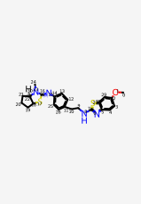 COc1ccc2nc(NCCc3ccc(/N=C4\SC5CCC[C@H]5N4C)cc3)sc2c1